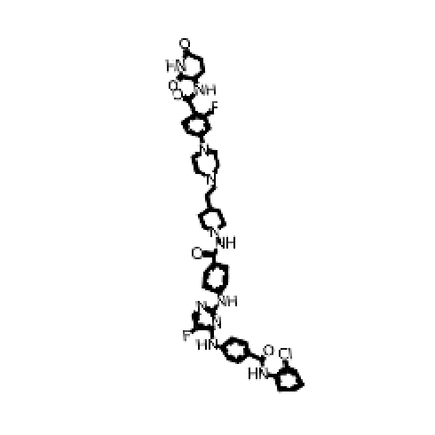 O=C1CCC(NC(=O)c2ccc(N3CCN(CCC4CCN(NC(=O)c5ccc(Nc6ncc(F)c(Nc7ccc(C(=O)Nc8ccccc8Cl)cc7)n6)cc5)CC4)CC3)cc2F)C(=O)N1